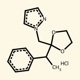 CC(c1ccccc1)C1(Cn2cccn2)OCCO1.Cl